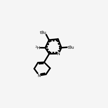 [2H]c1c(C(C)(C)C)cc(C(C)(C)C)nc1C1=CCN=CC1